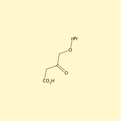 CCCOCC(=O)CC(=O)O